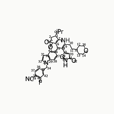 CC(C)C1CS(=O)(=O)C2=C1NC(CCC1CCOCC1)=C(c1cc(=O)[nH]o1)C2c1ccc2c(ccn2Cc2ccc(C#N)c(F)c2)c1